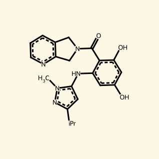 CC(C)c1cc(Nc2cc(O)cc(O)c2C(=O)N2Cc3cccnc3C2)n(C)n1